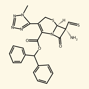 Cn1nnnc1C1=C(C(=O)OC(c2ccccc2)c2ccccc2)N2C(=O)[C@](N)(C=S)[C@@H]2SC1